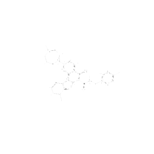 Cc1cnc(CNC(=O)c2c(=N)c3ccc(N4CCCN(C)CC4)nc3n3c4c(sc23)C(C)CC=C4)cn1